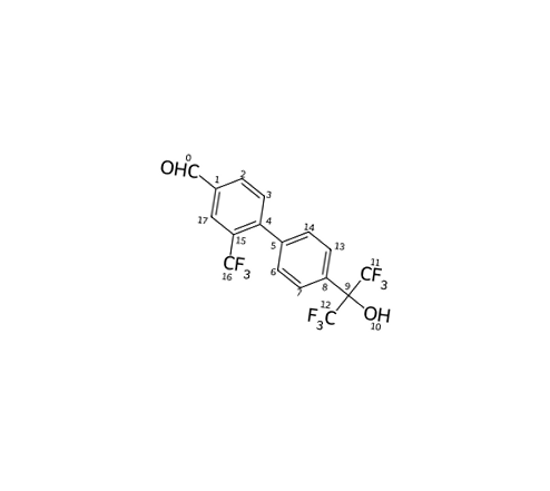 O=Cc1ccc(-c2ccc(C(O)(C(F)(F)F)C(F)(F)F)cc2)c(C(F)(F)F)c1